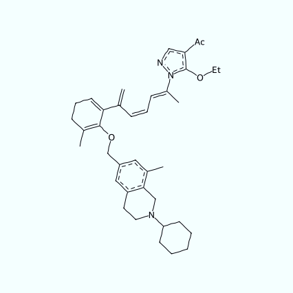 C=C(/C=C\C=C(/C)n1ncc(C(C)=O)c1OCC)C1=CCCC(C)=C1OCc1cc(C)c2c(c1)CCN(C1CCCCC1)C2